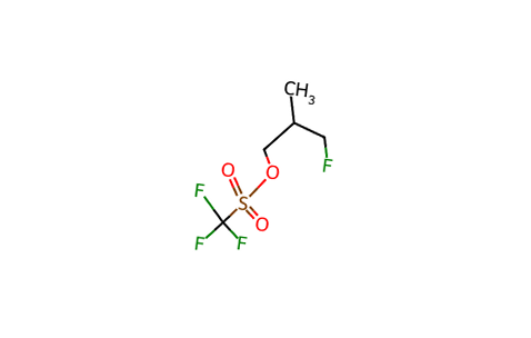 CC(CF)COS(=O)(=O)C(F)(F)F